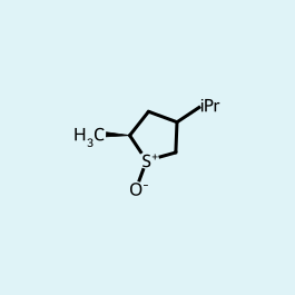 CC(C)C1C[C@H](C)[S+]([O-])C1